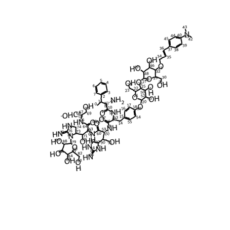 CC(c1ccccc1)[C@H](N)C(=O)N[C@@H](Cc1ccc(OC2OC(CO)C(OC3OC(CO)C(OCC=Cc4ccc(N(C)C)cc4)C(O)C3O)C(O)C2O)cc1)C(=O)N[C@H](C(=O)N[C@H](C(=O)N[C@H]([C]=O)CO)C(O)C1CNC(=N)N1C1OC(CO)C(O)C(O)C1O)C(O)C1CNC(=N)N1